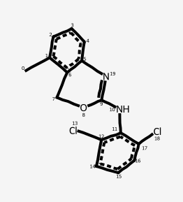 Cc1cccc2c1COC(Nc1c(Cl)cccc1Cl)=N2